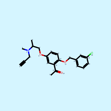 C#CCN(C)C(C)COc1ccc(OCc2cccc(Cl)c2)c(C(C)=O)c1